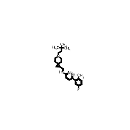 Cc1ccc(F)cc1C(=N)/C=C\C(=N)NCC1CC12CCN(CCC(C)(C)C)CC2